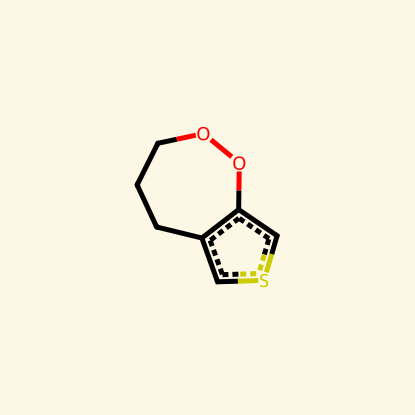 c1scc2c1CCCOO2